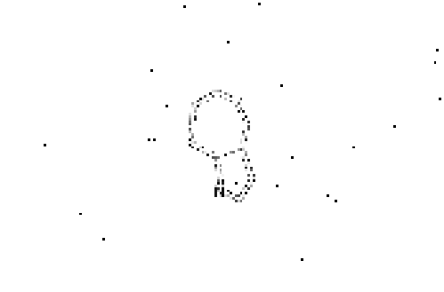 [c]1cccc2nccc-2c1